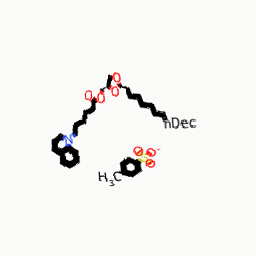 CCCCCCCCCCCCCCCCC[C@@H]1OC[C@@H](COC(=O)CCCCC[n+]2cccc3ccccc32)O1.Cc1ccc(S(=O)(=O)[O-])cc1